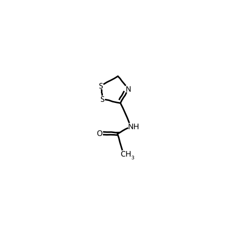 CC(=O)NC1=NCSS1